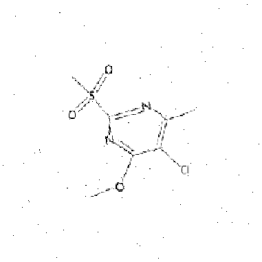 COc1nc(S(C)(=O)=O)nc(C)c1Cl